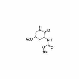 CC(=O)OC1CNC(=O)C(NC(=O)OC(C)(C)C)C1